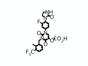 Cc1c(Cn2c(=O)c(OC(=O)O)cn(-c3ccc(N4CCNC4=O)c(F)c3)c2=O)cccc1C(F)(F)F